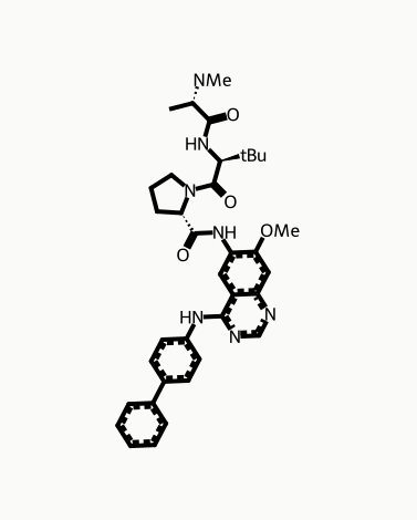 CN[C@@H](C)C(=O)N[C@H](C(=O)N1CCC[C@H]1C(=O)Nc1cc2c(Nc3ccc(-c4ccccc4)cc3)ncnc2cc1OC)C(C)(C)C